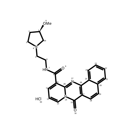 CO[C@@H]1CCN(CCNC(=O)c2cccn3c(=O)c4ccc5ccccc5c4nc23)C1.Cl